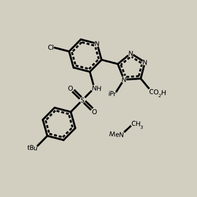 CC(C)n1c(C(=O)O)nnc1-c1ncc(Cl)cc1NS(=O)(=O)c1ccc(C(C)(C)C)cc1.CNC